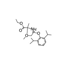 CCOC(=O)C(C)(C)NP(COC)Oc1c(C(C)C)cccc1C(C)C